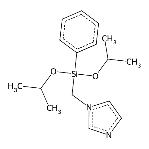 CC(C)O[Si](Cn1ccnc1)(OC(C)C)c1ccccc1